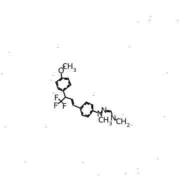 C=N/C=N\N(C)c1ccc(/C=C/C(c2ccc(OC)cc2)C(F)(F)F)cc1